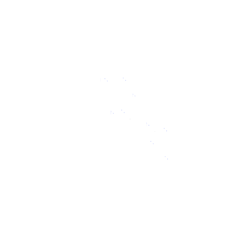 Cc1ccc(-c2nn(C(C)(C)CNC(=N)NC#N)c3ncnc(N)c23)cc1